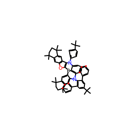 Cc1cc2c3c(c1)N(c1ccc(C(C)(C)C)cc1)c1c(oc4cc5c(cc14)C(C)(C)CCC5(C)C)B3c1cc3c(cc1N2c1c(-c2ccccc2)cc(C(C)(C)C)cc1-c1ccccc1)C(C)(C)CCC3(C)C